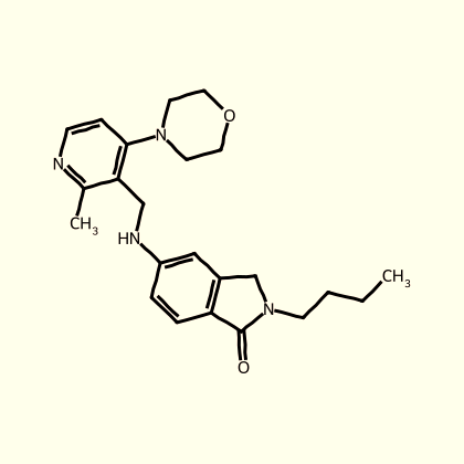 CCCCN1Cc2cc(NCc3c(N4CCOCC4)ccnc3C)ccc2C1=O